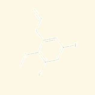 C=CCc1cc(F)cc(F)c1OC